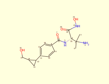 CC(C)(N)[C@H](NC(=O)c1ccc(C2CC2CO)cc1)C(=O)NO